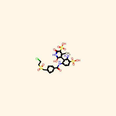 Cc1c(-c2c(NC(=O)c3ccc(CS(=O)(=O)CCCl)cc3)ccc(S(=O)(=O)O)c2N)c(O)[nH]c(=O)c1S(=O)(=O)O